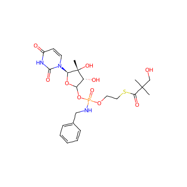 CC(C)(CO)C(=O)SCCOP(=O)(NCc1ccccc1)OC1O[C@@H](n2ccc(=O)[nH]c2=O)[C@](C)(O)[C@@H]1O